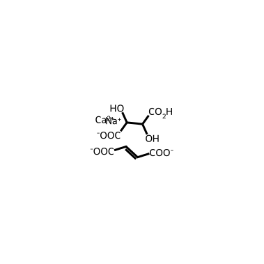 O=C([O-])C(O)C(O)C(=O)O.O=C([O-])C=CC(=O)[O-].[Ca+2].[Na+]